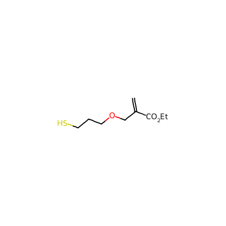 C=C(COCCCS)C(=O)OCC